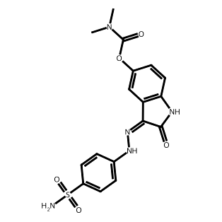 CN(C)C(=O)Oc1ccc2c(c1)C(=NNc1ccc(S(N)(=O)=O)cc1)C(=O)N2